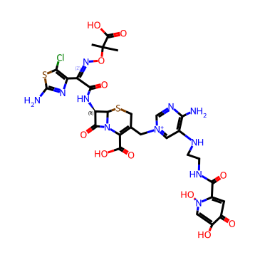 CC(C)(O/N=C(\C(=O)N[C@@H]1C(=O)N2C(C(=O)O)=C(C[n+]3cnc(N)c(NCCNC(=O)c4cc(=O)c(O)cn4O)c3)CSC12)c1nc(N)sc1Cl)C(=O)O